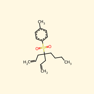 C=CCC(CC=C)(CCCC)S(=O)(=O)c1ccc(C)cc1